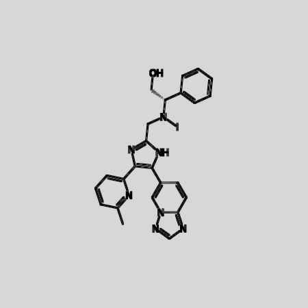 Cc1cccc(-c2nc(CN(I)[C@H](CO)c3ccccc3)[nH]c2-c2ccc3ncnn3c2)n1